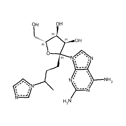 CC(CC[C@@]1(n2cnc3c(N)nc(N)nc32)O[C@H](CO)[C@@H](O)[C@H]1O)n1ccnc1